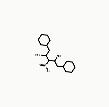 NC(CC1CCCCC1)C(C(CC1CCCCC1)C(=O)O)[PH](=O)O